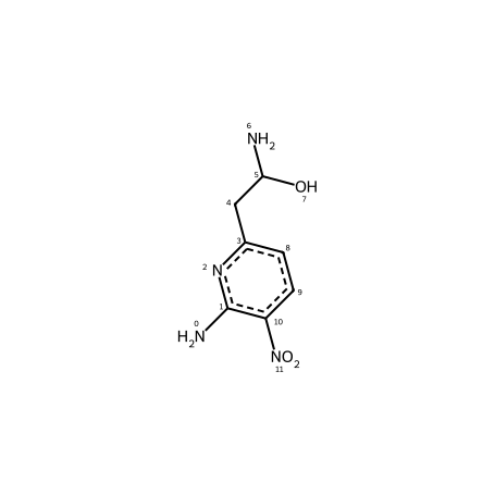 Nc1nc(CC(N)O)ccc1[N+](=O)[O-]